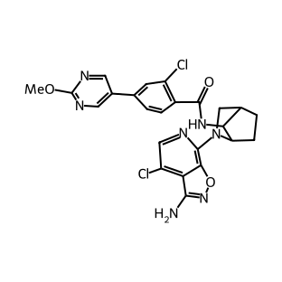 COc1ncc(-c2ccc(C(=O)NC3C4CCC3N(c3ncc(Cl)c5c(N)noc35)C4)c(Cl)c2)cn1